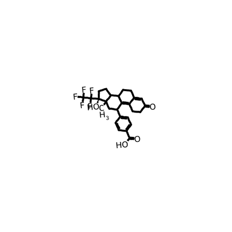 CC12CC(c3ccc(C(=O)O)cc3)C3=C4CCC(=O)C=C4CCC3C1CC[C@@]2(O)C(F)(F)C(F)(F)F